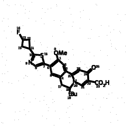 COc1cc2c(cc1-c1cnc(C3CC(F)C3)s1)CC(C(C)(C)C)n1cc(C(=O)O)c(=O)cc1-2